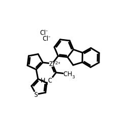 C[C](C)=[Zr+2]([C]1=C(c2ccsc2)C=CC1)[c]1cccc2c1Cc1ccccc1-2.[Cl-].[Cl-]